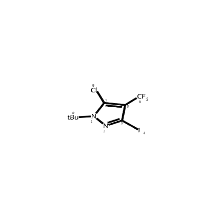 CC(C)(C)n1nc(I)c(C(F)(F)F)c1Cl